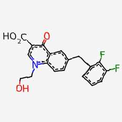 O=C(O)c1cn(CCO)c2ccc(Cc3cccc(F)c3F)cc2c1=O